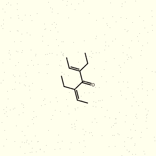 CC=C(CC)C(=O)C(=CC)CC